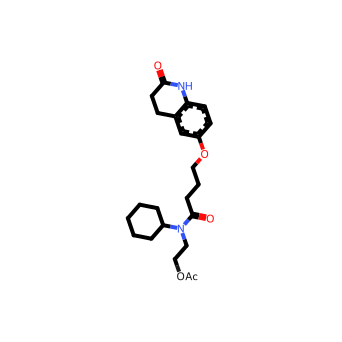 CC(=O)OCCN(C(=O)CCCOc1ccc2c(c1)CCC(=O)N2)C1CCCCC1